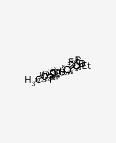 CCOc1ccc(C2CCC(OCc3ccc(C4CCC(C)CC4)c(F)c3F)CC2)c(F)c1F